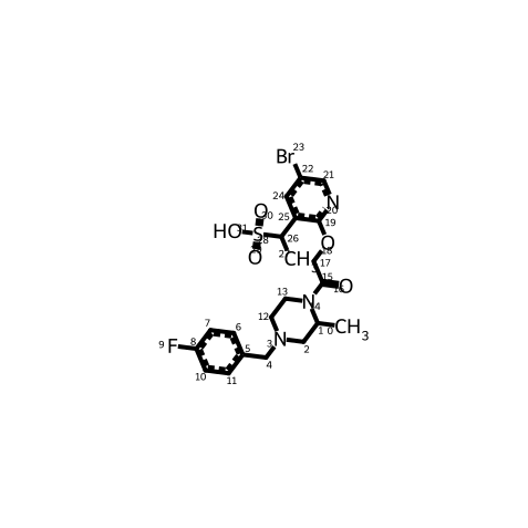 CC1CN(Cc2ccc(F)cc2)CCN1C(=O)COc1ncc(Br)cc1C(C)S(=O)(=O)O